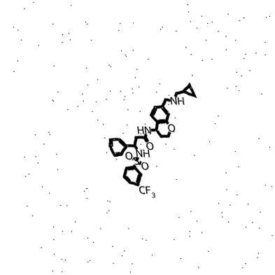 O=C(CC(NS(=O)(=O)c1cccc(C(F)(F)F)c1)c1ccccc1)NC1CCOc2cc(CNCC3CC3)ccc21